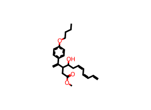 C=C/C=C\C=C/CC(O)C(CC(=O)OC)C(=C)c1ccc(OCCCC)cc1